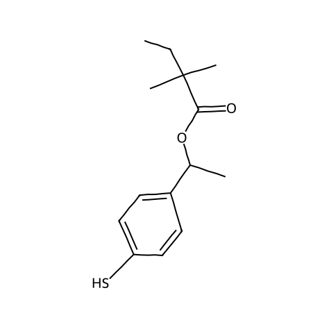 CCC(C)(C)C(=O)OC(C)c1ccc(S)cc1